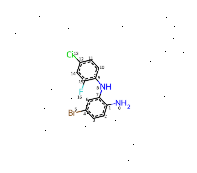 Nc1ccc(Br)cc1Nc1ccc(Cl)cc1F